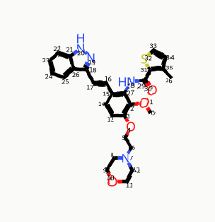 COc1c(OCCN2CCOCC2)ccc(C=Cc2n[nH]c3ccccc23)c1NC(=O)c1sccc1C